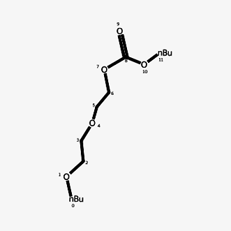 CCCCOCCOCCOC(=O)OCCCC